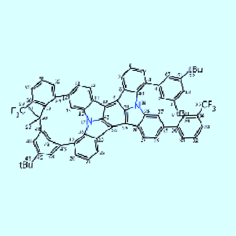 CC(C)(C)c1cc(-c2cccc3c4c5c6ccc7cc6n6c8c(cccc8c(c8c9ccc(-c%10cccc(C(F)(F)F)c%10)cc9n(c23)c84)c56)-c2cc(C(C)(C)C)cc(c2)C(C)(C)c2c-7cccc2C(F)(F)F)cc(C(C)(C)C)c1